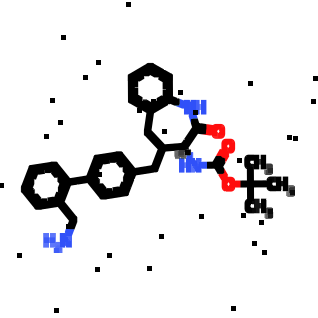 CC(C)(C)OC(=O)N[C@H]1C(=O)Nc2ccccc2CC1Cc1ccc(-c2ccccc2CN)cc1